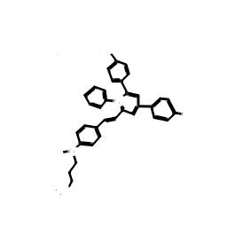 CN(CCCC#N)c1ccc(/C=C/c2cc(-c3ccc(Br)cc3)cc(-c3ccc(Br)cc3)[n+]2-c2ccccc2)cc1.[B+3].[F-].[F-].[F-].[F-]